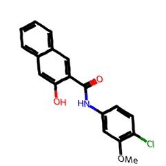 COc1cc(NC(=O)c2cc3ccccc3cc2O)ccc1Cl